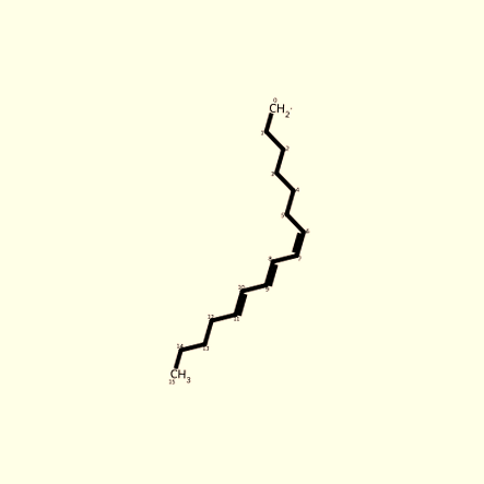 [CH2]CCCCC\C=C/C=C/C=C/CCCC